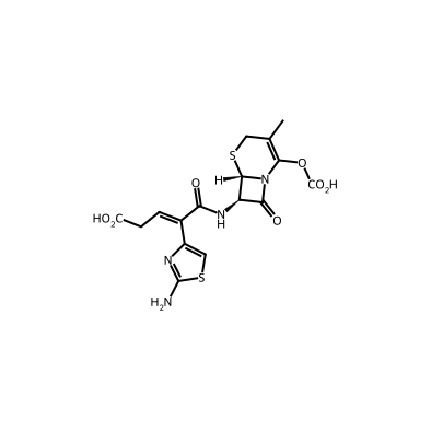 CC1=C(OC(=O)O)N2C(=O)[C@@H](NC(=O)C(=CCC(=O)O)c3csc(N)n3)[C@@H]2SC1